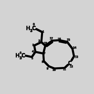 CCC1CC(CC)C2CCCCCCCC=CC=C12